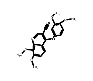 COc1ccc(Nc2c(C#N)cnc3c(OC)c(OC)ccc23)cc1OC